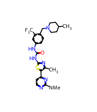 CNc1nccc(-c2sc(NC(=O)Nc3ccc(CN4CCC(C)CC4)c(C(F)(F)F)c3)nc2C)n1